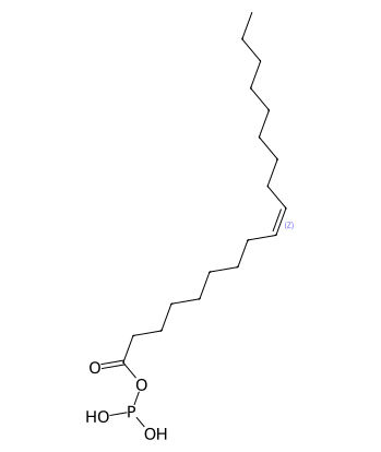 CCCCCCCC/C=C\CCCCCCCC(=O)OP(O)O